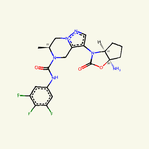 C[C@H]1Cn2ncc(N3C(=O)O[C@]4(N)CCC[C@H]34)c2CN1C(=O)Nc1cc(F)c(F)c(F)c1